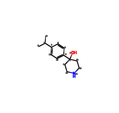 CC(C)c1ccc(C2(O)CCNCC2)cc1